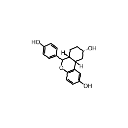 Oc1ccc(C2Oc3ccc(O)cc3[C@H]3C[C@@H](O)CC[C@@H]23)cc1